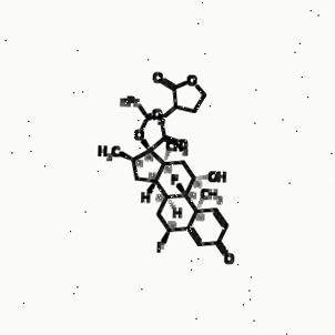 CCCC(=O)O[C@]1(C(=O)SC2CCOC2=O)[C@H](C)C[C@H]2[C@@H]3C[C@H](F)C4=CC(=O)C=C[C@]4(C)[C@@]3(F)[C@@H](O)C[C@@]21C